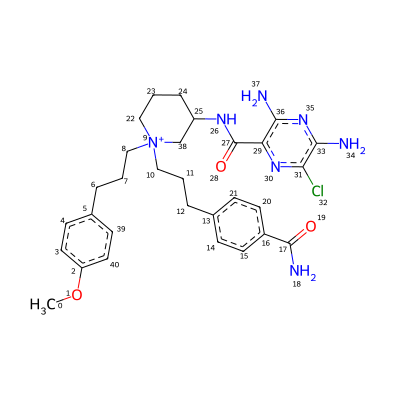 COc1ccc(CCC[N+]2(CCCc3ccc(C(N)=O)cc3)CCCC(NC(=O)c3nc(Cl)c(N)nc3N)C2)cc1